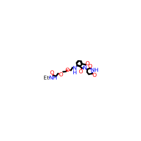 CCNC(=O)CCOCCOCCNc1cccc2c1C(=O)N(C1CCC(=O)NC1=O)C2=O